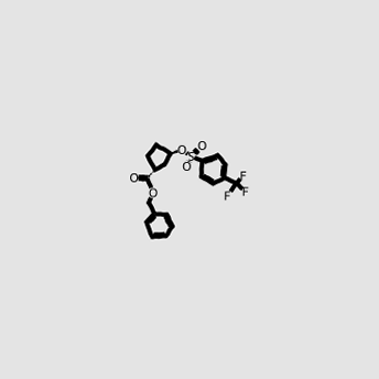 O=C(OCc1ccccc1)[C@@H]1CC[C@@H](OS(=O)(=O)c2ccc(C(F)(F)F)cc2)C1